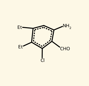 CCc1cc(N)c(C=O)c(Cl)c1CC